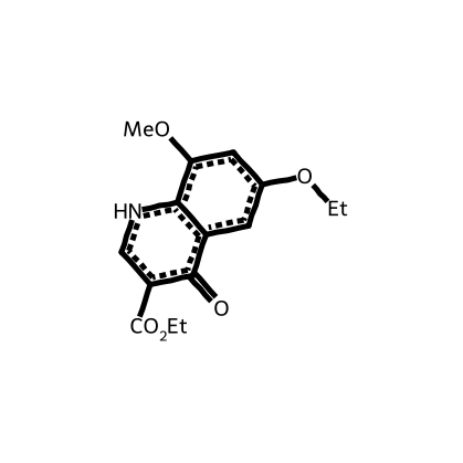 CCOC(=O)c1c[nH]c2c(OC)cc(OCC)cc2c1=O